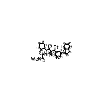 CC[C@H](C(=N)C(=O)[C@H](NC(=O)[C@H](C)NC)C1CCCCC1)c1cncc(N2CCc3ccccc32)c1